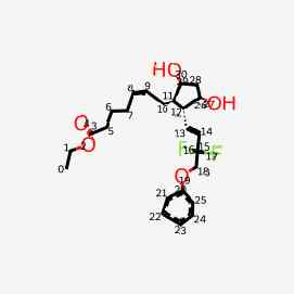 CCOC(=O)CCC/C=C\C[C@@H]1[C@@H](/C=C/C(F)(F)COc2ccccc2)[C@H](O)C[C@@H]1O